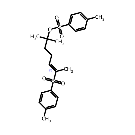 C/C(=C\CCC(C)(C)OS(=O)(=O)c1ccc(C)cc1)S(=O)(=O)c1ccc(C)cc1